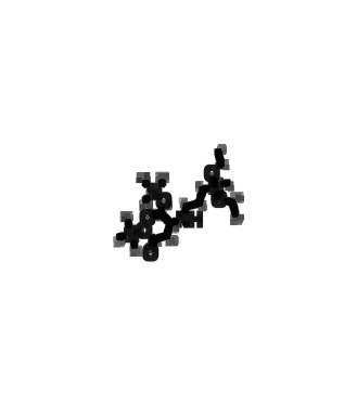 CCO[Si](C)(CCCNC(CC(=O)O[Si](C)(C)C)C(=O)O[Si](C)(C)C)OCC